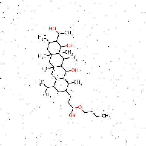 CCCCOC(O)CCC1CC(C(C)C)C2CC3(C)CC4(C)CC(C)C(C(C)O)C(O)C4(C)C(C)C3C(O)C2C1C